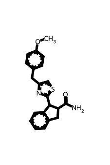 COc1ccc(Cc2csc(C3c4ccccc4CC3C(N)=O)n2)cc1